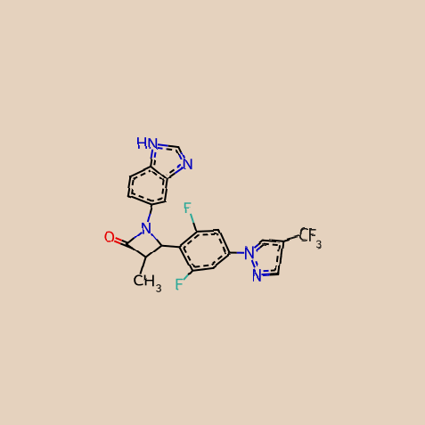 CC1C(=O)N(c2ccc3[nH]cnc3c2)C1c1c(F)cc(-n2cc(C(F)(F)F)cn2)cc1F